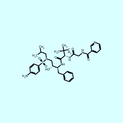 CC(C)CN(C[C@@H](O)[C@H](Cc1ccccc1)NC(=O)[C@@H](NC(=O)CNC(=O)c1cccnc1)C(C)(C)C)S(=O)(=O)c1ccc(N)cc1